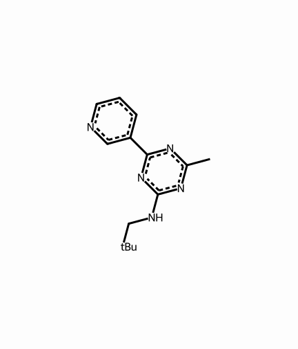 Cc1nc(NCC(C)(C)C)nc(-c2cccnc2)n1